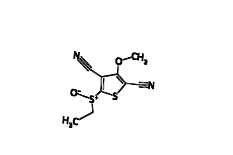 CC[S+]([O-])c1sc(C#N)c(OC)c1C#N